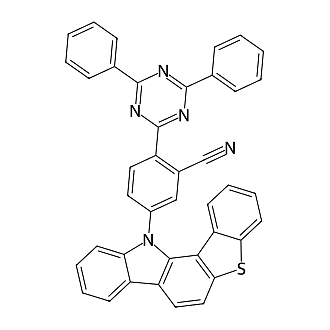 N#Cc1cc(-n2c3ccccc3c3ccc4sc5ccccc5c4c32)ccc1-c1nc(-c2ccccc2)nc(-c2ccccc2)n1